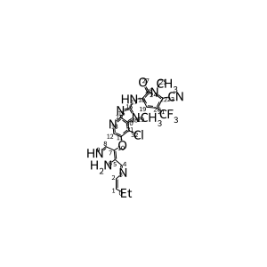 CC\C=C/N=C\C(N)=C(\C=N)Oc1cnc2nc(Nc3cc(C(F)(F)F)c(C#N)n(C)c3=O)n(C)c2c1Cl